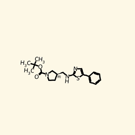 CC(C)(C)OC(=O)N1CC[C@H](CNc2ncc(-c3ccccc3)s2)C1